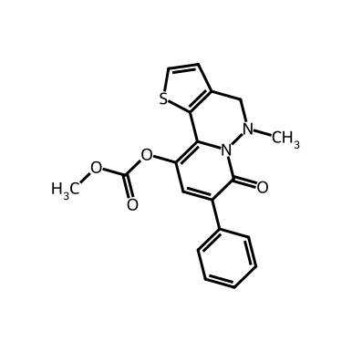 COC(=O)Oc1cc(-c2ccccc2)c(=O)n2c1-c1sccc1CN2C